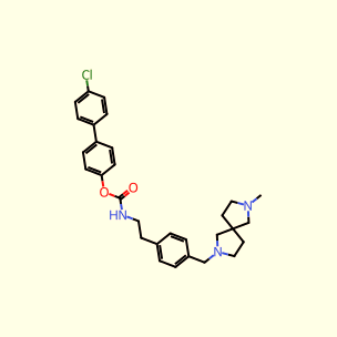 CN1CCC2(CCN(Cc3ccc(CCNC(=O)Oc4ccc(-c5ccc(Cl)cc5)cc4)cc3)C2)C1